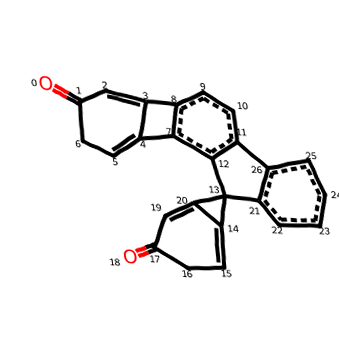 O=C1C=C2C(=CC1)c1c2ccc2c1C1(C3=CCC(=O)C=C31)c1ccccc1-2